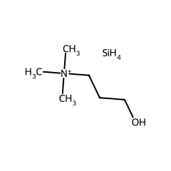 C[N+](C)(C)CCCO.[SiH4]